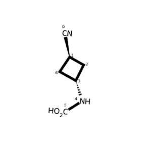 N#C[C@H]1C[C@H](NC(=O)O)C1